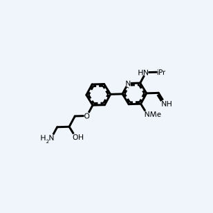 CNc1cc(-c2cccc(OCC(O)CN)c2)nc(NC(C)C)c1C=N